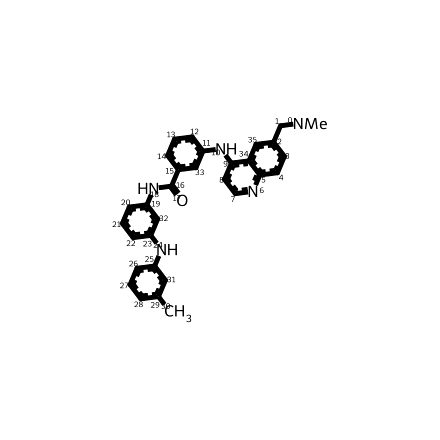 CNCc1ccc2nccc(Nc3cccc(C(=O)Nc4cccc(Nc5cccc(C)c5)c4)c3)c2c1